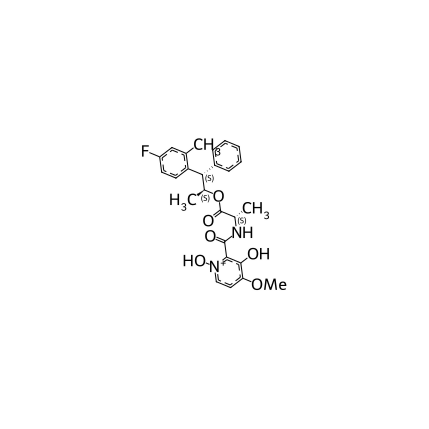 COc1cc[n+](O)c(C(=O)N[C@@H](C)C(=O)O[C@@H](C)[C@@H](c2ccccc2)c2ccc(F)cc2C)c1O